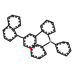 c1ccc(N(c2ccccc2)c2ccccc2-c2cccc(-c3cccc4ccccc34)c2)cc1